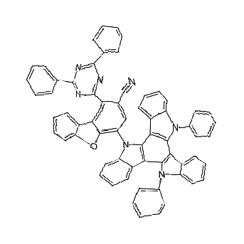 N#Cc1cc(-n2c3ccccc3c3c4c(c5ccccc5n4-c4ccccc4)c4c(c5ccccc5n4-c4ccccc4)c32)c2oc3ccccc3c2c1-c1nc(-c2ccccc2)nc(-c2ccccc2)n1